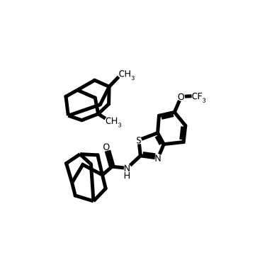 CC12CC3CC(C1)CC(C)(C3)C2.O=C(Nc1nc2ccc(OC(F)(F)F)cc2s1)C12CC3CC(CC(C3)C1)C2